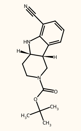 CC(C)(C)OC(=O)N1CC[C@@H]2Nc3c(C#N)cccc3[C@@H]2C1